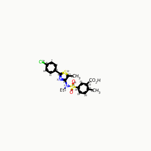 CCN(c1nc(-c2ccc(Cl)cc2)sc1C)S(=O)(=O)c1ccc(C)c(C(=O)O)c1